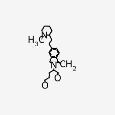 C=C1c2ccc(CCC3CCCCN3C)cc2CN1C(C=O)CCC=O